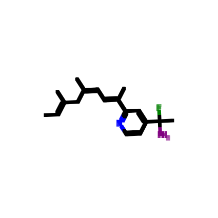 C/C=C(\C)C/C(C)=C\C=C(/C)c1cc(C(C)(F)P)ccn1